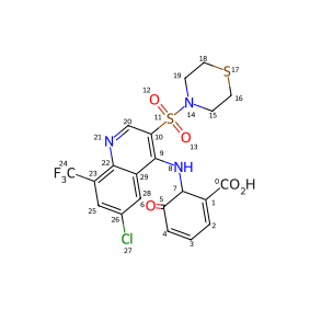 O=C(O)C1=CC=CC(=O)C1Nc1c(S(=O)(=O)N2CCSCC2)cnc2c(C(F)(F)F)cc(Cl)cc12